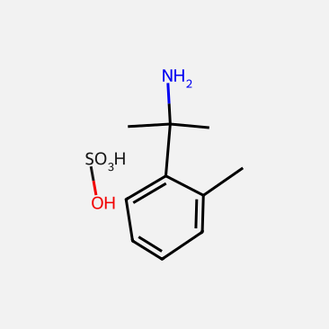 Cc1ccccc1C(C)(C)N.O=S(=O)(O)O